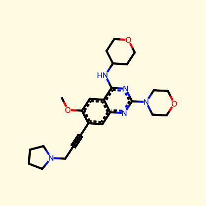 COc1cc2c(NC3CCOCC3)nc(N3CCOCC3)nc2cc1C#CCN1CCCC1